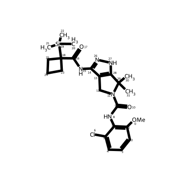 COc1cccc(Cl)c1NC(=O)N1Cc2c(NC(=O)C3([Si](C)(C)C)CCC3)n[nH]c2C1(C)C